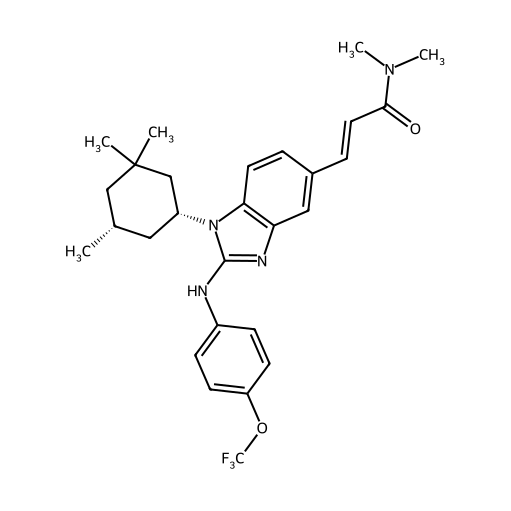 C[C@H]1C[C@@H](n2c(Nc3ccc(OC(F)(F)F)cc3)nc3cc(/C=C/C(=O)N(C)C)ccc32)CC(C)(C)C1